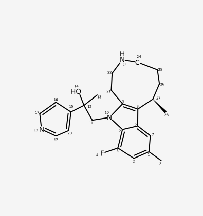 Cc1cc(F)c2c(c1)c1c(n2CC(C)(O)c2ccncc2)CCNCCC[C@H]1C